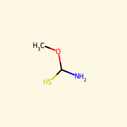 COC(N)S